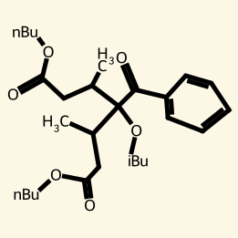 CCCCOC(=O)CC(C)C(OC(C)CC)(C(=O)c1ccccc1)C(C)CC(=O)OCCCC